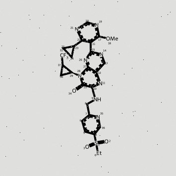 CCS(=O)(=O)c1ccc(CNc2nc3cnc(-c4c(OC)ncnc4C4CC4)nc3n([C@H]3CC3C(F)(F)F)c2=O)nc1